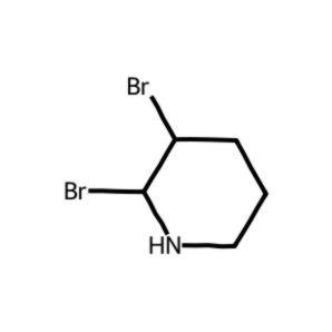 BrC1CCCNC1Br